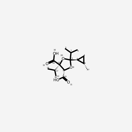 CC(C)C1([C@H]2C[C@@H]2C)O[C@H](C(=O)O)[C@](C(=O)O)(C(C)C)O1